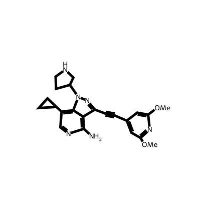 COc1cc(C#Cc2nn(C3CCNC3)c3c(C4CC4)cnc(N)c23)cc(OC)n1